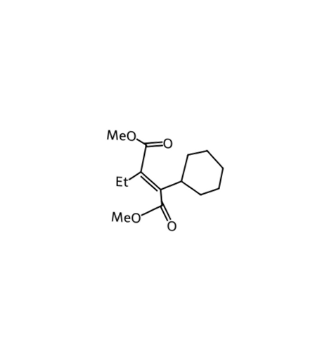 CCC(C(=O)OC)=C(C(=O)OC)C1CCCCC1